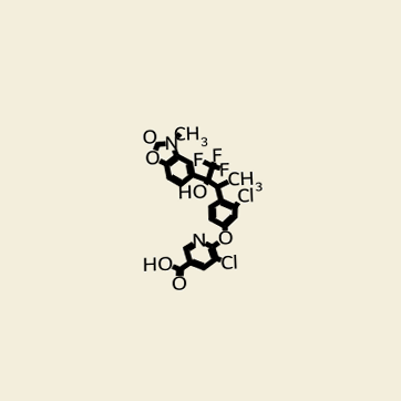 CC(c1ccc(Oc2ncc(C(=O)O)cc2Cl)cc1Cl)C(O)(c1ccc2oc(=O)n(C)c2c1)C(F)(F)F